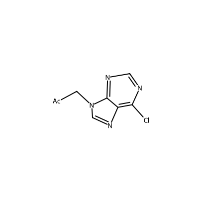 CC(=O)Cn1cnc2c(Cl)ncnc21